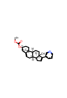 CCCOC(=O)O[C@H]1CC[C@@]2(C)C(=CC[C@@H]3[C@@H]2CC[C@]2(C)C(c4cccnc4)=CC[C@@H]32)C1